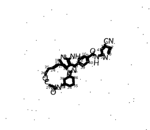 N#Cc1ccnc(NC(=O)c2ccc(-c3nn4c5c(cnc(N)c35)/C=C/CCOCCC(=O)N[C@@H]3CCC[C@@H]4C3)cc2)c1